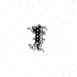 CCC(C)[C@H]1C(=O)Nc2c(O)c3c(c(F)c2CN1C)CC1C[C@H]2[C@H](N(C)C)C(O)=C(C(N)=O)C(=O)[C@@]2(O)C(O)=C1C3=O